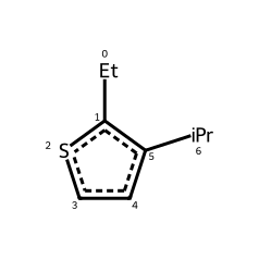 CCc1sccc1C(C)C